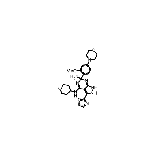 COc1cc(N2CCOCC2)ccc1C1(N)N=C2NNC(c3ncco3)=C2C(NC2CCOCC2)=N1